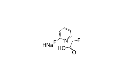 Fc1ccccn1.O=C(O)CF.[NaH]